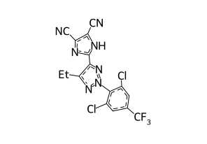 CCc1nn(-c2c(Cl)cc(C(F)(F)F)cc2Cl)nc1-c1nc(C#N)c(C#N)[nH]1